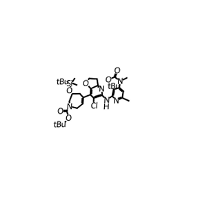 Cc1cc(N(C)C(=O)OC(C)(C)C)cc(Nc2nc3c(c(C4=CCN(C(=O)OC(C)(C)C)CC(O[Si](C)(C)C(C)(C)C)C4)c2Cl)OCC3)n1